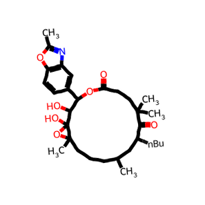 CCCCC1CC(C)CCCC2(C)OC2(O)C(O)C(c2ccc3oc(C)nc3c2)OC(=O)CCC(C)(C)C1=O